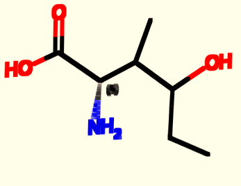 CCC(O)C(C)[C@H](N)C(=O)O